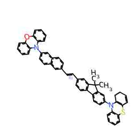 CC1(C)c2cc(/C=C/c3ccc4cc(N5c6ccccc6Oc6ccccc65)ccc4c3)ccc2-c2ccc(N3C4=C(C=CCC4)Sc4ccccc43)cc21